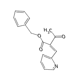 CC(=O)/C(=C/c1ccccn1)C(=O)OCc1ccccc1